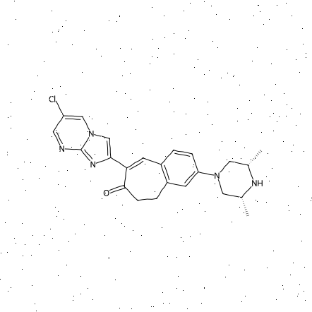 C[C@@H]1CN(c2ccc3c(c2)CCC(=O)C(c2cn4cc(Cl)cnc4n2)=C3)C[C@H](C)N1